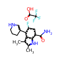 Cc1[nH]c2c(C(N)=O)cc(F)c(C3=CNCCC3)c2c1C.O=C(O)C(F)(F)F